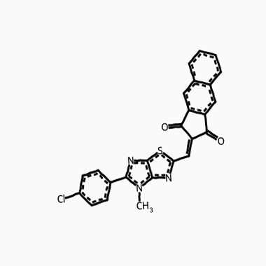 Cn1c(-c2ccc(Cl)cc2)nc2sc(C=C3C(=O)c4cc5ccccc5cc4C3=O)nc21